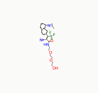 CC1CN1c1cccc2ccc(/C(=C(\C#N)C(=O)NCCOCCOCCO)C(F)(F)F)cc12